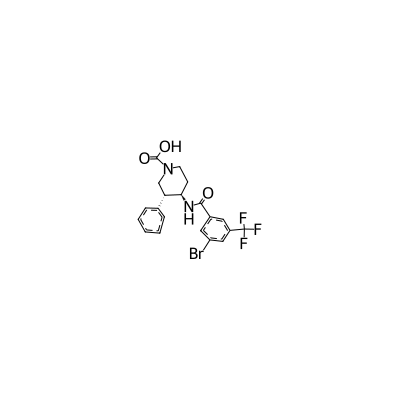 O=C(N[C@@H]1CCN(C(=O)O)C[C@H]1c1ccccc1)c1cc(Br)cc(C(F)(F)F)c1